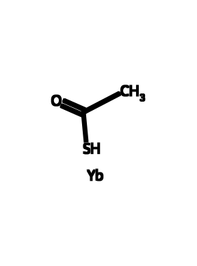 CC(=O)S.[Yb]